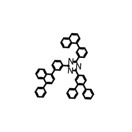 c1ccc(-c2ccc(-c3nc(-c4cccc(-c5cccc6ccccc56)c4)nc(-c4cccc(-c5ccc(-c6ccccc6)c6ccccc56)c4)n3)cc2-c2ccccc2)cc1